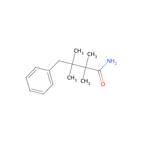 CC(C)(Cc1ccccc1)C(C)(C)C(N)=O